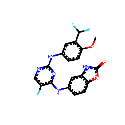 COc1ccc(Nc2ncc(F)c(Nc3ccc4oc(=O)[nH]c4c3)n2)cc1C(F)F